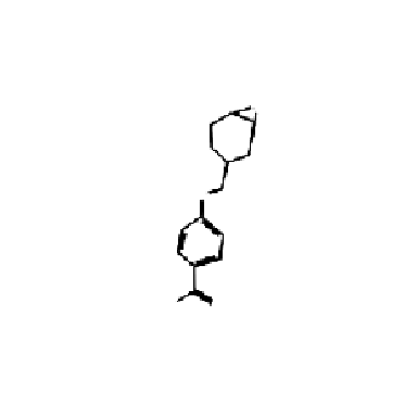 C=C(C)c1ccc(OCC2CCC3OC3C2)cc1